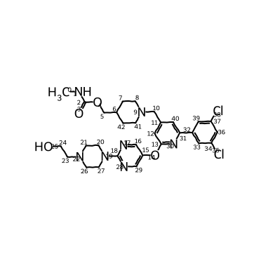 CNC(=O)OCC1CCN(Cc2cc(Oc3cnc(N4CCN(CCO)CC4)nc3)nc(-c3cc(Cl)cc(Cl)c3)c2)CC1